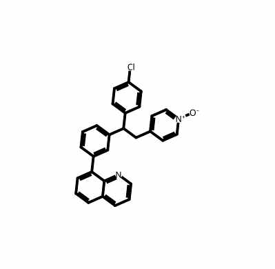 [O-][n+]1ccc(CC(c2ccc(Cl)cc2)c2cccc(-c3cccc4cccnc34)c2)cc1